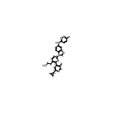 Cc1ccc(Nc2ccc3c(c2)ncn3-c2ccc(CCO)c(-c3cc(C4CC4)ncc3C)n2)nn1